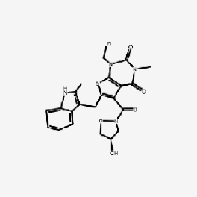 Cc1[nH]c2ccccc2c1Cc1sc2c(c1C(=O)N1C[C@@H](O)CO1)c(=O)n(C)c(=O)n2CC(C)C